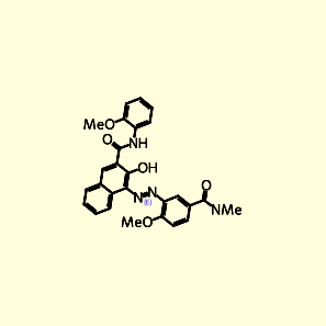 CNC(=O)c1ccc(OC)c(/N=N/c2c(O)c(C(=O)Nc3ccccc3OC)cc3ccccc23)c1